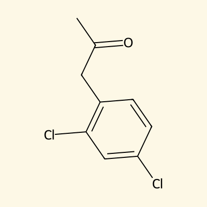 CC(=O)Cc1ccc(Cl)cc1Cl